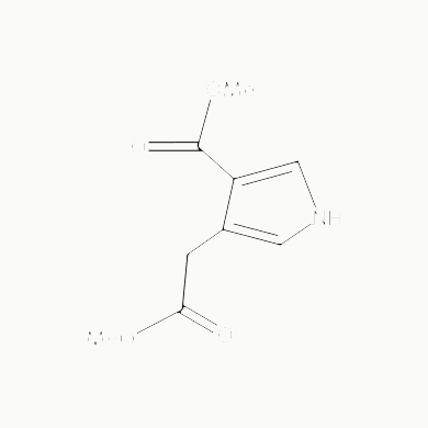 COC(=O)Cc1c[nH]cc1C(=O)OC